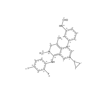 CC1=c2c(on(C3CC3)on2-c2cccc(NC=O)c2)=C(Nc2ccc(I)cc2F)N(C)O1